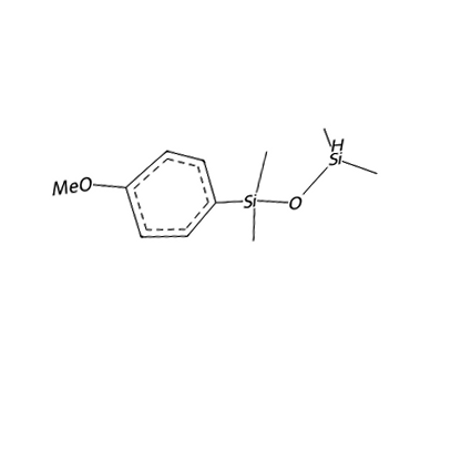 COc1ccc([Si](C)(C)O[SiH](C)C)cc1